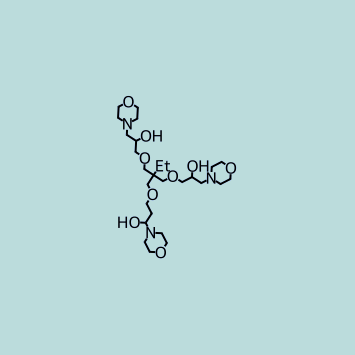 CCC(COCCC(O)N1CCOCC1)(COCC(O)CN1CCOCC1)COCC(O)CN1CCOCC1